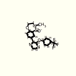 CN1CCOc2ccc(-c3nccnc3Oc3ccc(C(F)(F)F)cc3)cc2[S+]1[O-]